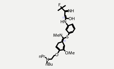 CCCCN(CCC)CCOC1=CC/C(=C(\NC)Sc2cccc(N/C(O)=C/C(=N)C(C)(C)F)c2)C=C1OC